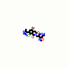 Cc1nnn(C)c1-c1cc(Br)c2c(c1Cl)C(=O)N(Cc1c(=O)[nH]c(C)c3ocnc13)CC2